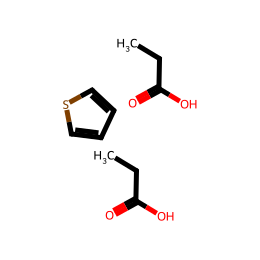 CCC(=O)O.CCC(=O)O.c1ccsc1